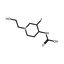 O=C(O)NC1CCN(CCO)CC1F